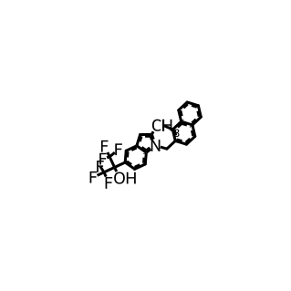 Cc1cc2cc(C(O)(C(F)(F)F)C(F)(F)F)ccc2n1Cc1ccc2ccccc2c1I